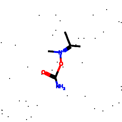 CC(C)=[N+](C)OC(N)=O